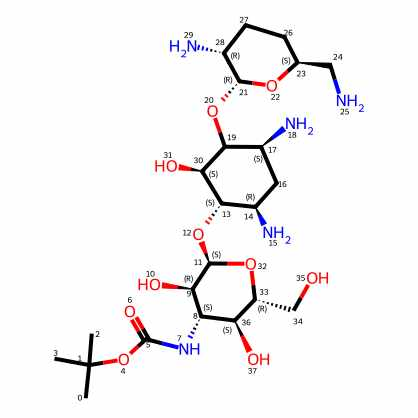 CC(C)(C)OC(=O)N[C@@H]1[C@@H](O)[C@@H](O[C@H]2[C@H](N)C[C@H](N)C(O[C@H]3O[C@H](CN)CC[C@H]3N)[C@@H]2O)O[C@H](CO)[C@H]1O